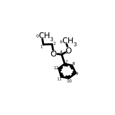 CCCOC(OC)c1ccccc1